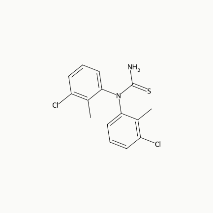 Cc1c(Cl)cccc1N(C(N)=S)c1cccc(Cl)c1C